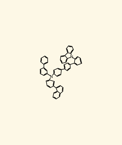 c1ccc(-c2cccc(N(c3ccc(-c4ccc(-c5ccccc5-n5c6ccccc6c6ccccc65)cc4)cc3)c3cccc(-c4cccc5ccccc45)c3)c2)cc1